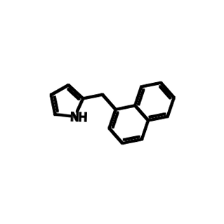 c1c[nH]c(Cc2cccc3ccccc23)c1